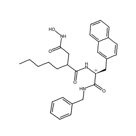 CCCCCC(CC(=O)NO)C(=O)N[C@@H](Cc1ccc2ccccc2c1)C(=O)NCc1ccccc1